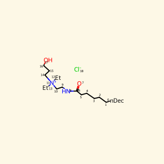 CCCCCCCCCCCCCCCC(=O)NCC[N+](CC)(CC)CCCO.[Cl-]